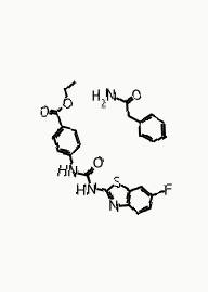 CCOC(=O)c1ccc(NC(=O)Nc2nc3ccc(F)cc3s2)cc1.NC(=O)Cc1ccccc1